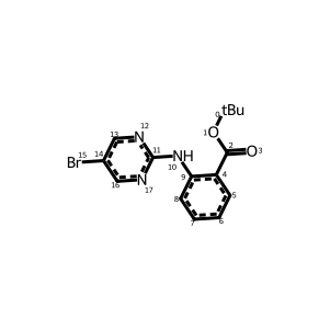 CC(C)(C)OC(=O)c1ccccc1Nc1ncc(Br)cn1